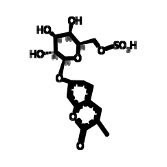 Cc1cc2ccc(O[C@@H]3O[C@H](COS(=O)(=O)O)[C@H](O)[C@H](O)[C@H]3O)cc2oc1=O